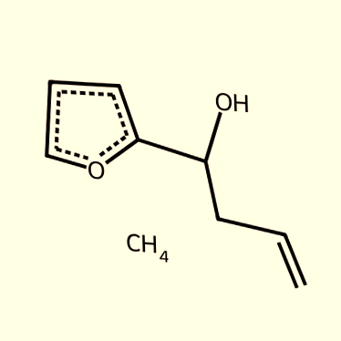 C.C=CCC(O)c1ccco1